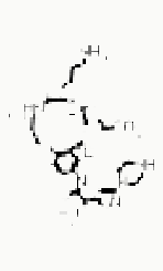 CC(=O)[C@@H]1CCOc2ccc(NC(=O)[C@H](C)n3cc(N4CCNCC4)nn3)cc2C(=O)N[C@@H](CCC(=O)O)C(=O)N[C@@H](CCCCN)C(=O)N1